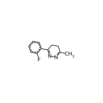 CC1=NN=C(c2ccccc2F)CC1